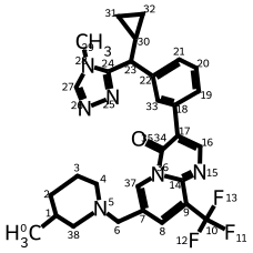 CC1CCCN(Cc2cc(C(F)(F)F)c3ncc(-c4cccc(C(c5nncn5C)C5CC5)c4)c(=O)n3c2)C1